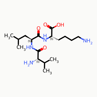 CC(C)C[C@H](NC(=O)[C@@H](N)C(C)C)C(=O)N[C@@H](CCCCN)C(=O)O